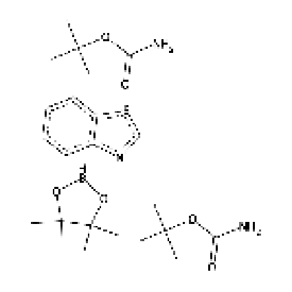 CC(C)(C)OC(N)=O.CC(C)(C)OC(N)=O.CC1(C)OBOC1(C)C.c1ccc2scnc2c1